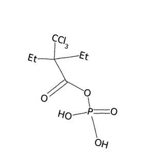 CCC(CC)(C(=O)OP(=O)(O)O)C(Cl)(Cl)Cl